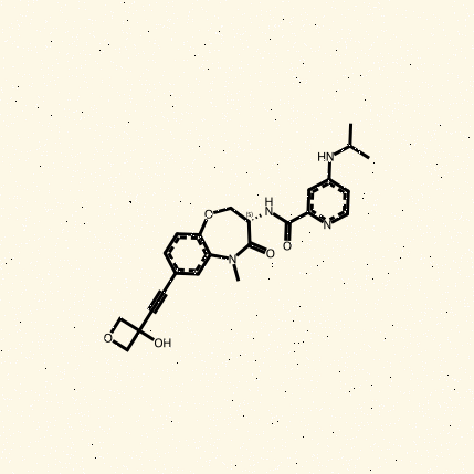 CC(C)Nc1ccnc(C(=O)N[C@H]2COc3ccc(C#CC4(O)COC4)cc3N(C)C2=O)c1